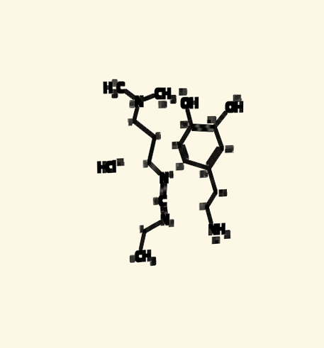 CCN=C=NCCCN(C)C.Cl.NCCc1ccc(O)c(O)c1